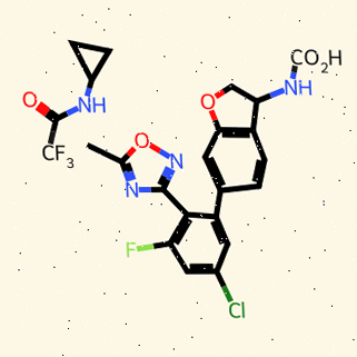 Cc1nc(-c2c(F)cc(Cl)cc2-c2ccc3c(c2)OCC3NC(=O)O)no1.O=C(NC1CC1)C(F)(F)F